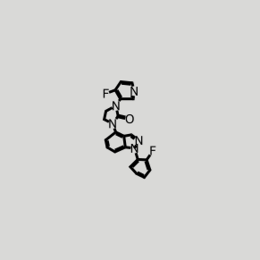 O=C1N(c2cnccc2F)CCN1c1cccc2c1cnn2-c1ccccc1F